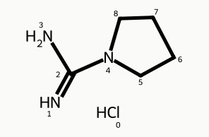 Cl.N=C(N)N1CCCC1